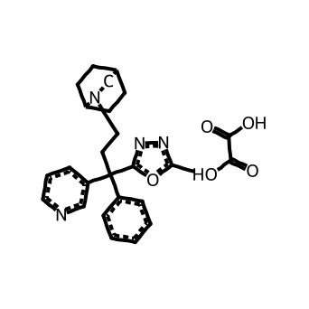 Cc1nnc(C(CCN2CC3CCC2CC3)(c2ccccc2)c2cccnc2)o1.O=C(O)C(=O)O